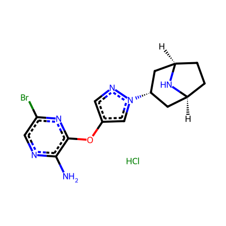 Cl.Nc1ncc(Br)nc1Oc1cnn([C@@H]2C[C@H]3CC[C@@H](C2)N3)c1